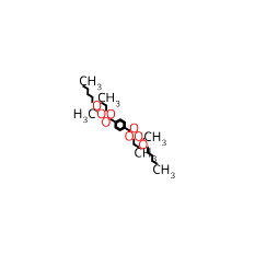 CCCCCCOC(C)OC(CCC)OC(=O)c1ccc(C(=O)OC(CCC)OC(C)OCCCCCC)cc1